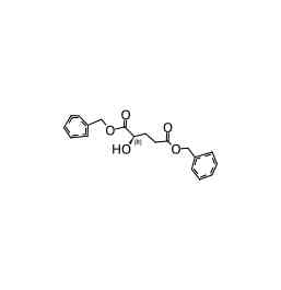 O=C(CC[C@@H](O)C(=O)OCc1ccccc1)OCc1ccccc1